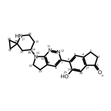 O=C1CCc2cc(-c3cc4c(nn3)N([C@@H]3CCNC5(CC5)C3)CC4)c(O)cc21